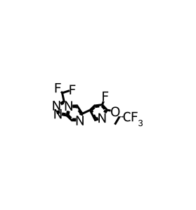 C[C@H](Oc1ncc(-c2cn3c(C(F)F)nnc3cn2)cc1F)C(F)(F)F